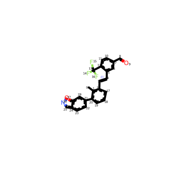 Cc1c(/C=C/c2cc(C=O)ccc2C(F)(F)F)cccc1-c1ccc2cnoc2c1